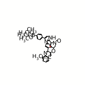 C/C=C(OC1CC(c2nc(-c3ccc(B4OC(C)(C)C(C)(C)O4)cc3)c[nH]2)N(C=O)C1)\C(=N/c1ccccc1C)c1cccs1